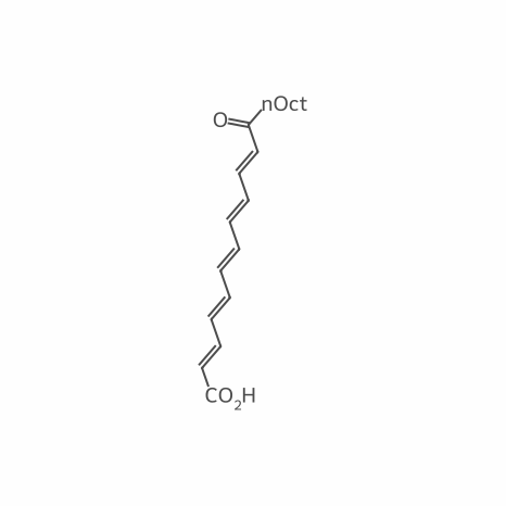 CCCCCCCCC(=O)/C=C/C=C/C=C/C=C/C=C/C(=O)O